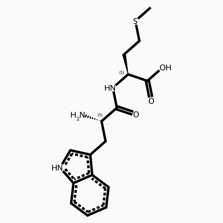 CSCC[C@H](NC(=O)[C@@H](N)Cc1c[nH]c2ccccc12)C(=O)O